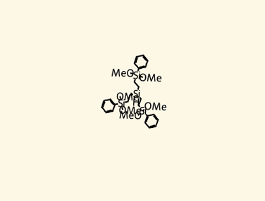 CO[Si](CC[SiH](CC[Si](OC)(OC)c1ccccc1)CC[Si](OC)(OC)c1ccccc1)(OC)c1ccccc1